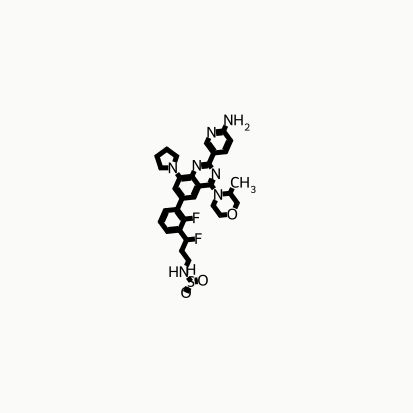 CC1COCCN1c1nc(-c2ccc(N)nc2)nc2c(N3CCCC3)cc(-c3cccc(C(F)CCN[SH](=O)=O)c3F)cc12